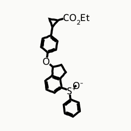 CCOC(=O)C1CC1c1ccc(OC2CCc3c2cccc3[S+]([O-])c2ccccc2)cc1